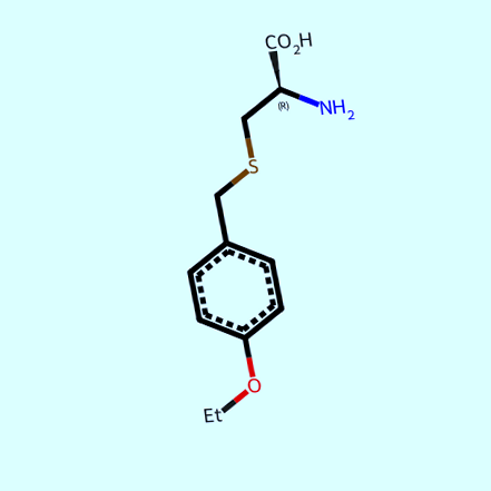 CCOc1ccc(CSC[C@H](N)C(=O)O)cc1